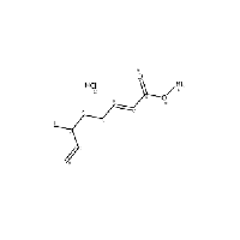 C=CC(C)CCC=CC(=O)OC(C)(C)C.Cl